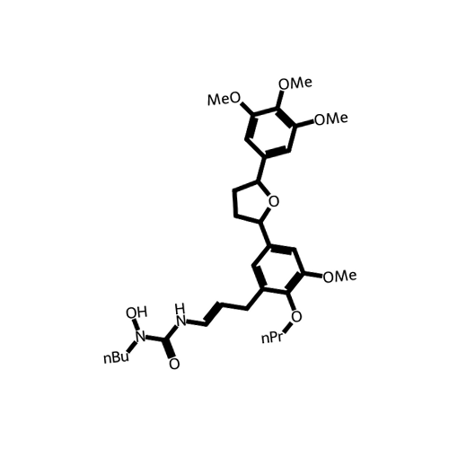 CCCCN(O)C(=O)NC=CCc1cc(C2CCC(c3cc(OC)c(OC)c(OC)c3)O2)cc(OC)c1OCCC